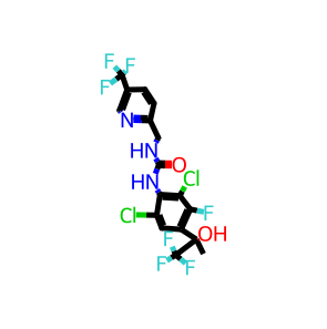 CC(O)(c1cc(Cl)c(NC(=O)NCc2ccc(C(F)(F)F)cn2)c(Cl)c1F)C(F)(F)F